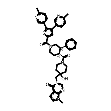 Cc1ccc(-c2cc(C(=O)N3CC[C@@H](C(=O)N4CCC(O)(Cn5cnc6c(ccn6C)c5=O)CC4)[C@H](c4ccccc4)C3)sc2-c2ccc(C)nc2)cn1